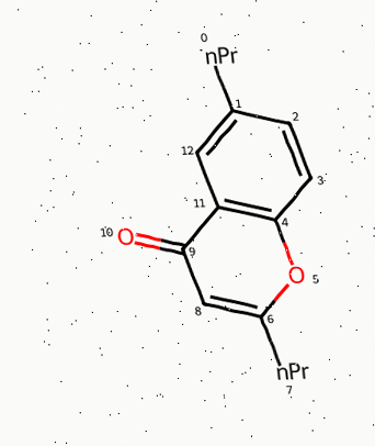 CCCc1ccc2oc(CCC)cc(=O)c2c1